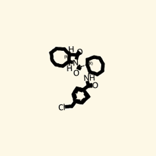 O=C(N[C@H]1CCCCCC[C@H]1C(=O)N1C(=O)[C@@H]2CCCCCC[C@@H]21)c1ccc(CCl)cc1